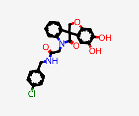 O=C(CN1C(=O)C2(COc3cc(O)c(O)cc32)c2ccccc21)NCc1ccc(Cl)cc1